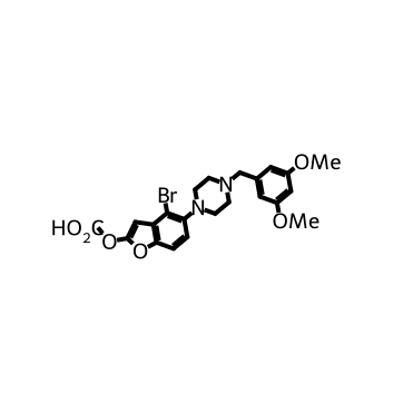 COc1cc(CN2CCN(c3ccc4oc(OC(=O)O)cc4c3Br)CC2)cc(OC)c1